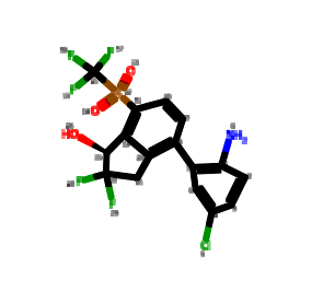 Nc1ccc(Cl)cc1-c1ccc(S(=O)(=O)C(F)(F)F)c2c1CC(F)(F)[C@H]2O